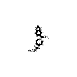 CC(=O)Nc1nc2c(o1)CCN(C(C)c1ccc3scnc3c1)CC2